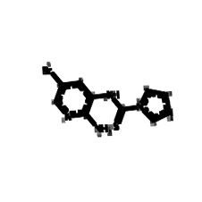 Nc1ncc(Br)cc1NC(=S)n1ccnc1